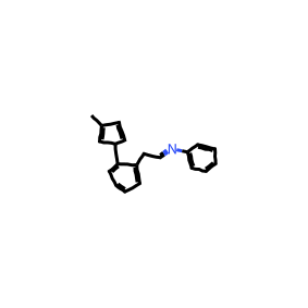 CC1=CC(c2ccccc2CC=Nc2ccccc2)C=C1